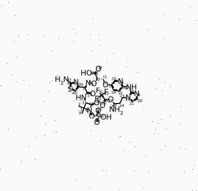 CC1(C)[C@H](NC(=O)/C(=N\O[C@@H](COc2ccc(Nc3nccn3CC[C@@H](N)OC(=O)C(F)(F)F)nc2)C(=O)O)c2csc(N)n2)C(=O)N1OS(=O)(=O)O